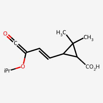 CC(C)OC(=C=O)C=CC1C(C(=O)O)C1(C)C